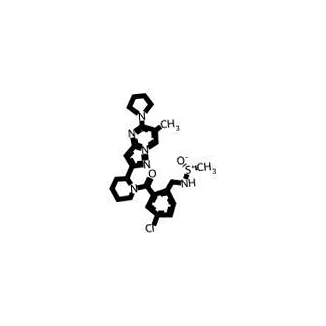 Cc1cn2nc(C3CCCCN3C(=O)c3cc(Cl)ccc3CN[S+](C)[O-])cc2nc1N1CCCC1